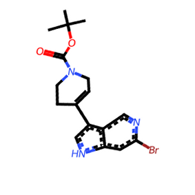 CC(C)(C)OC(=O)N1CC=C(c2c[nH]c3cc(Br)ncc23)CC1